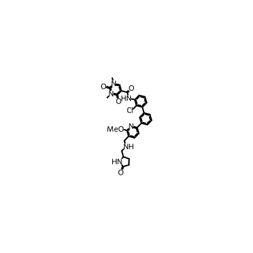 COc1nc(-c2cccc(-c3cccc(NC(=O)c4cn(C)c(=O)n(C)c4=O)c3Cl)c2)ccc1CNCC1CCC(=O)N1